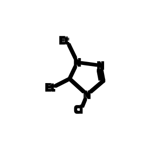 CCC1N(Cl)C=NN1CC